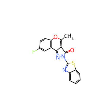 Cc1oc2ccc(F)cc2c2nn(-c3nc4ccccc4s3)c(=O)c1-2